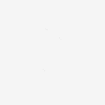 c1ccc2nc(-c3cc(-n4ccc5ccccc54)cs3)ncc2c1